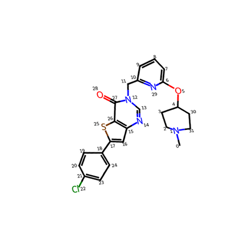 CN1CCC(Oc2cccc(Cn3cnc4cc(-c5ccc(Cl)cc5)sc4c3=O)n2)CC1